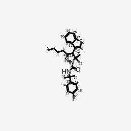 CCCCC1=NN(C(=O)NC(C)(C)c2ccc(F)cc2)C(C)(C)C1c1csc2ccccc12